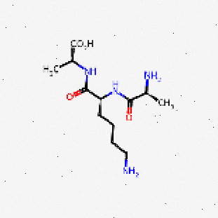 C[C@H](N)C(=O)N[C@@H](CCCCN)C(=O)N[C@@H](C)C(=O)O